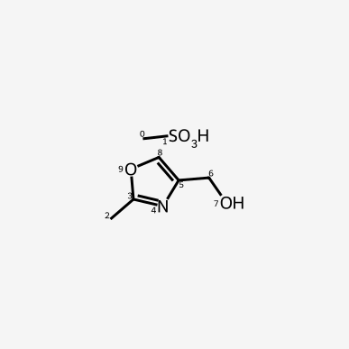 CS(=O)(=O)O.Cc1nc(CO)co1